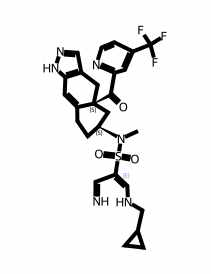 CN([C@H]1CCC2=Cc3[nH]ncc3C[C@]2(C(=O)c2cc(C(F)(F)F)ccn2)C1)S(=O)(=O)/C(C=N)=C/NCC1CC1